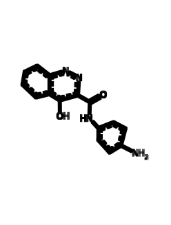 Nc1ccc(NC(=O)c2nnc3ccccc3c2O)cc1